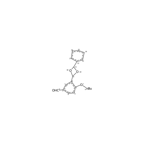 CCCCOc1ccc(C=O)cc1C1OC(c2ccccc2)O1